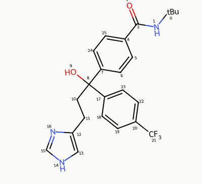 CC(C)(C)NC(=O)c1ccc(C(O)(CCc2c[nH]cn2)c2ccc(C(F)(F)F)cc2)cc1